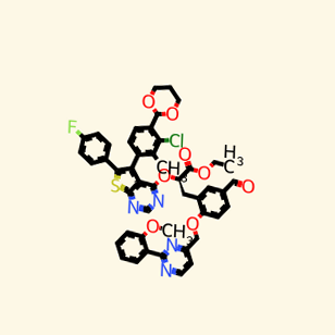 CCOC(=O)[C@@H](Cc1cc(C=O)ccc1OCc1ccnc(-c2ccccc2OC)n1)Oc1ncnc2sc(-c3ccc(F)cc3)c(-c3ccc(C4OCCCO4)c(Cl)c3C)c12